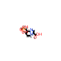 O=C(O)c1cnc2c(CP(=O)(O)O)cccn12